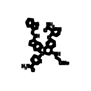 COCCNC1CCCc2cc(Oc3ccncc3C(N)=O)ccc21.NC(=O)c1ccc(Oc2ccc3c(c2)CCC3NCc2csc3ccccc23)nc1